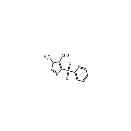 Cn1cnc(S(=O)(=O)c2ccccn2)c1C=O